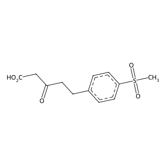 CS(=O)(=O)c1ccc(CCC(=O)CC(=O)O)cc1